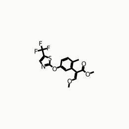 CO/C=C(/C(=O)OC)c1cc(Oc2ncc(C(F)(F)F)s2)ccc1C